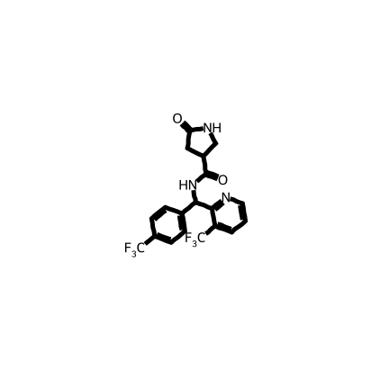 O=C1CC(C(=O)NC(c2ccc(C(F)(F)F)cc2)c2ncccc2C(F)(F)F)CN1